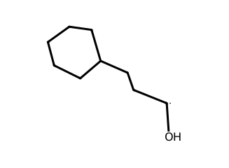 O[CH]CCC1CCCCC1